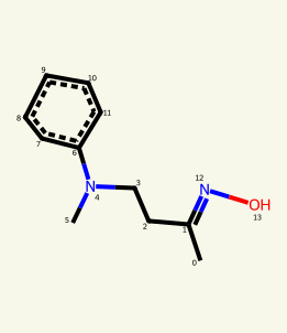 CC(CCN(C)c1ccccc1)=NO